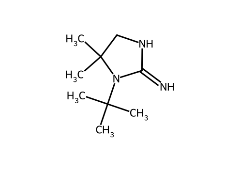 CC(C)(C)N1C(=N)NCC1(C)C